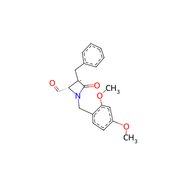 COc1ccc(CN2C(=O)[C](Cc3ccccc3)[C@H]2C=O)c(OC)c1